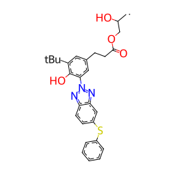 [CH2]C(O)COC(=O)CCc1cc(-n2nc3ccc(Sc4ccccc4)cc3n2)c(O)c(C(C)(C)C)c1